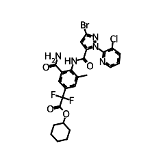 Cc1cc(C(F)(F)C(=O)OC2CCCCC2)cc(C(N)=O)c1NC(=O)c1cc(Br)nn1-c1ncccc1Cl